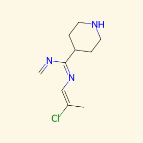 C=N/C(=N\C=C(/C)Cl)C1CCNCC1